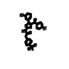 CS(=O)(=O)c1ccc(CC(=O)Nc2nc(-c3cccc(Cl)c3)c(C(=O)c3ccc(Cl)cc3)s2)cc1